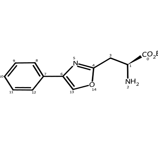 CCOC(=O)[C@@H](N)Cc1nc(-c2ccccc2)co1